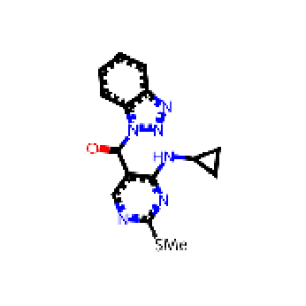 CSc1ncc(C(=O)n2nnc3ccccc32)c(NC2CC2)n1